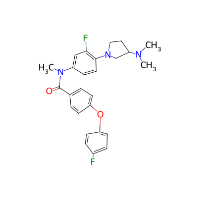 CN(C(=O)c1ccc(Oc2ccc(F)cc2)cc1)c1ccc(N2CCC(N(C)C)C2)c(F)c1